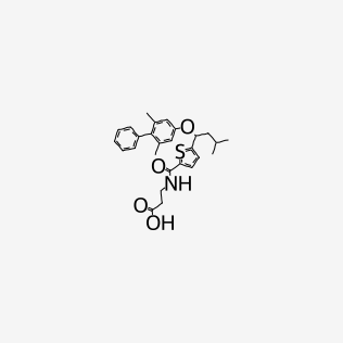 Cc1cc(OC(CC(C)C)c2ccc(C(=O)NCCC(=O)O)s2)cc(C)c1-c1ccccc1